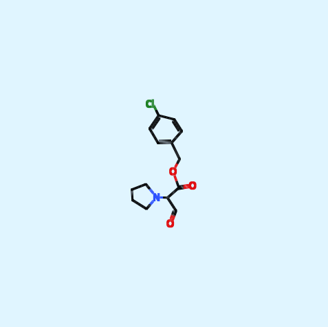 O=CC(C(=O)OCc1ccc(Cl)cc1)N1CCCC1